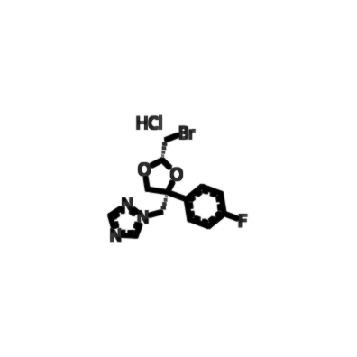 Cl.Fc1ccc([C@@]2(Cn3cncn3)CO[C@H](CBr)O2)cc1